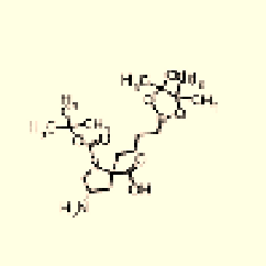 CC(C)(C)OC(=O)N1C[C@@H](N)C[C@@]1(CCCCB1OC(C)(C)C(C)(C)O1)C(=O)O